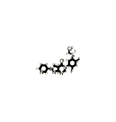 Cc1cc(F)c(-n2cnc3nn(-c4cccnc4)cc3c2=O)cc1SCC(F)(F)F